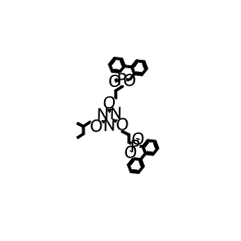 CCC(C)COc1nc(OCCCP2(=O)Oc3ccccc3-c3ccccc32)nc(OCCCP2(=O)Oc3ccccc3-c3ccccc32)n1